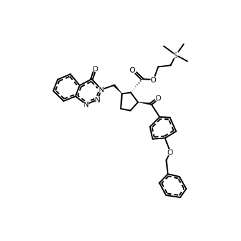 CS(C)(C)CCOC(=O)[C@H]1[C@H](Cn2nnc3ccccc3c2=O)CC[C@@H]1C(=O)c1ccc(OCc2ccccc2)cc1